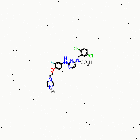 CC(C)N1CCN(CCOc2ccc(Nc3nccc(N(Cc4cc(Cl)ccc4Cl)C(=O)O)n3)cc2F)CC1